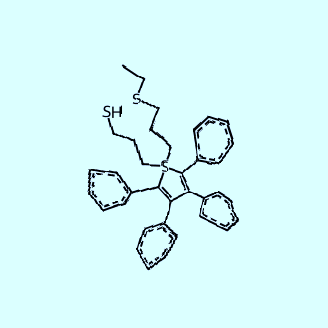 CCSCCCS1(CCCS)C(c2ccccc2)=C(c2ccccc2)C(c2ccccc2)=C1c1ccccc1